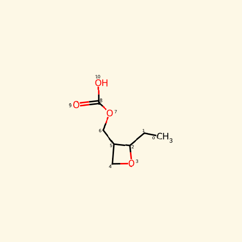 CCC1OCC1COC(=O)O